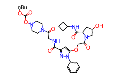 CCCCOC(=O)ON1CCN(C(=O)CNC(=O)c2cc(OCC(=O)N3C[C@H](O)C[C@H]3C(=O)NC3CCC3)n(-c3ccccc3)n2)CC1